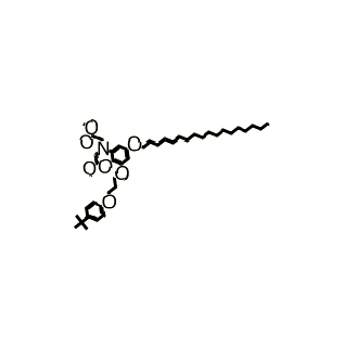 CCCCCCCCCCCCCCCCCCOc1cc(OCCCOc2ccc(C(C)(C)C)cc2)cc(N(CC(=O)OC)CC(=O)OC)c1